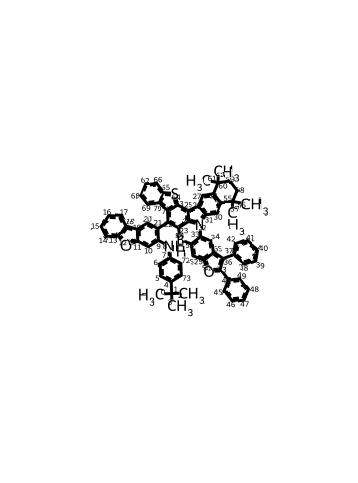 CC(C)(C)c1ccc(Nc2cc3oc4ccccc4c3cc2-c2c3c4c(c5cc6c(cc5n4-c4cc5c(-c7ccccc7)c(-c7ccccc7)oc5cc4B3)C(C)(C)CCC6(C)C)c3sc4ccccc4c23)cc1